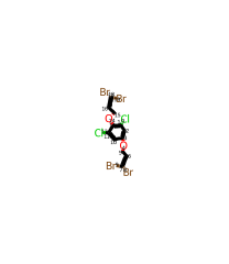 Clc1cc(OCC=C(Br)Br)cc(Cl)c1OCC=C(Br)Br